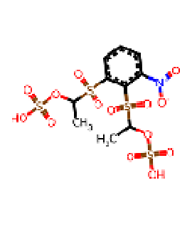 CC(OS(=O)(=O)O)S(=O)(=O)c1cccc([N+](=O)[O-])c1S(=O)(=O)C(C)OS(=O)(=O)O